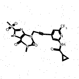 CN1C(=O)c2c(nc(S(C)(=O)=O)n2C)N(CC#Cc2cc(NC(=O)C3CC3)nc(C(F)(F)F)c2)C2OC21